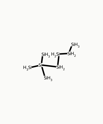 [SiH3][SiH2][SiH2][SiH2][Si]([SiH3])([SiH3])[SiH3]